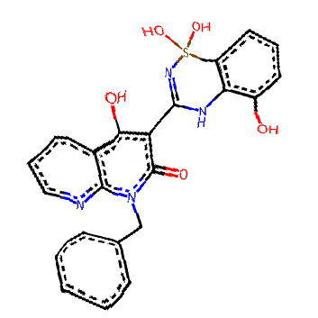 O=c1c(C2=NS(O)(O)c3cccc(O)c3N2)c(O)c2cccnc2n1Cc1ccccc1